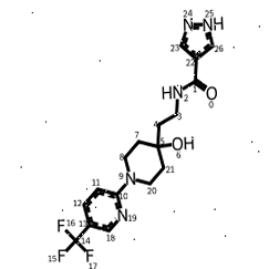 O=C(NCCC1(O)CCN(c2ccc(C(F)(F)F)cn2)CC1)c1cn[nH]c1